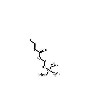 CC=CC(=O)OCO[Si](CCCCCCC)(OC)OC